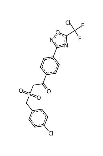 O=C(CS(=O)(=O)Cc1ccc(Cl)cc1)c1ccc(-c2noc(C(F)(F)Cl)n2)cc1